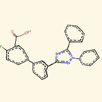 O=C(O)c1cc(-c2cccc(-c3nc(-c4ccccc4)n(-c4ccccc4)n3)c2)ccc1F